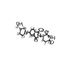 O=C1CCC(N2C(=O)c3ccc(N4CCC(CO)C4)cc3C2=O)C(=O)N1